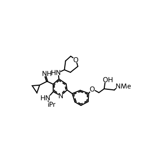 CNCC(O)COc1cccc(-c2cc(NC3CCOCC3)c(C(=N)C3CC3)c(NC(C)C)n2)c1